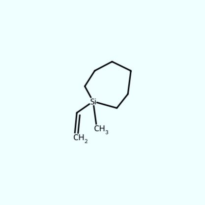 C=C[Si]1(C)CCCCCC1